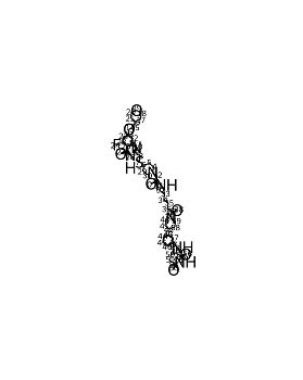 O=C(CN1CCC(SCc2nc3cc(OCC4CCOCC4)cc(F)c3c(=O)[nH]2)CC1)NCCCCCC(=O)N1CCC(c2cccc(NC3CCC(=O)NC3=O)c2)CC1